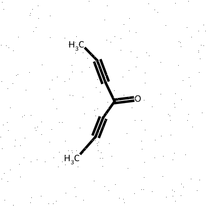 CC#CC(=O)C#CC